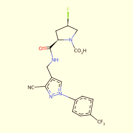 N#Cc1nn(-c2ccc(C(F)(F)F)cc2)cc1CNC(=O)[C@H]1C[C@@H](F)CN1C(=O)O